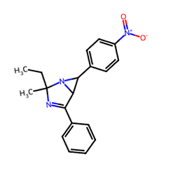 CCC1(C)N=C(c2ccccc2)C2C(c3ccc([N+](=O)[O-])cc3)N21